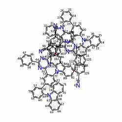 N#Cc1ccc(-c2ccc3c(c2)c2ccccc2n3-c2ccc(-c3ccccc3-n3c4ccccc4c4c(-c5ccc(-c6nc(-c7ccccc7)nc(-c7cc(-c8ccccc8-n8c9ccccc9c9ccccc98)ccc7-n7c8ccccc8c8cc(-c9ccc(C#N)cc9C#N)ccc87)n6)cc5)cccc43)cc2-c2nc(-c3ccccc3)nc(-c3ccccc3)n2)cc1